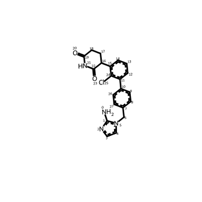 Nc1nccn1Cc1ccc(-c2cccc(C3CCC(=O)NC3=O)c2Cl)cc1